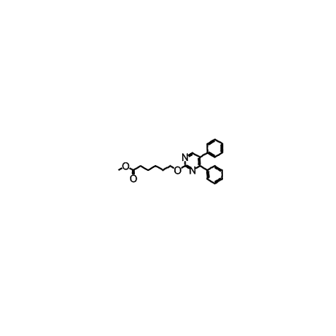 COC(=O)CCCCCOc1ncc(-c2ccccc2)c(-c2ccccc2)n1